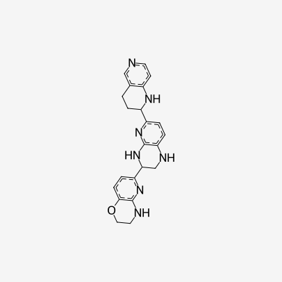 c1cc2c(cn1)CCC(c1ccc3c(n1)NC(c1ccc4c(n1)NCCO4)CN3)N2